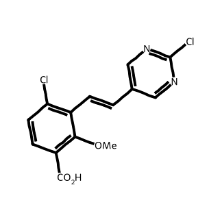 COc1c(C(=O)O)ccc(Cl)c1C=Cc1cnc(Cl)nc1